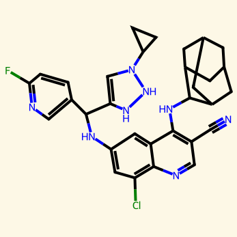 N#Cc1cnc2c(Cl)cc(NC(C3=CN(C4CC4)NN3)c3ccc(F)nc3)cc2c1NC1C2CC3CC(C2)CC1C3